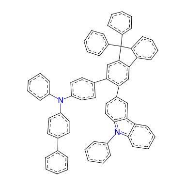 c1ccc(-c2ccc(N(c3ccccc3)c3ccc(-c4cc5c(cc4-c4ccc6c(c4)c4ccccc4n6-c4ccccc4)-c4ccccc4C5(c4ccccc4)c4ccccc4)cc3)cc2)cc1